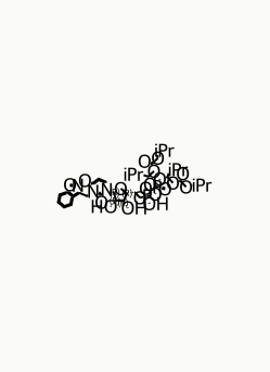 CC(C)OC(=O)OC(OP(=O)(OC(OC(=O)OC(C)C)C(C)C)OP(=O)(O)OC[C@H]1O[C@@H](n2ccc(=O)n(Cc3noc4ccccc34)c2=O)[C@@H](O)[C@H]1O)C(C)C